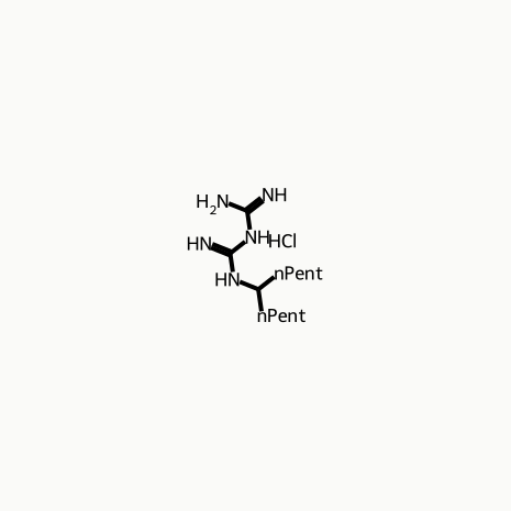 CCCCCC(CCCCC)NC(=N)NC(=N)N.Cl